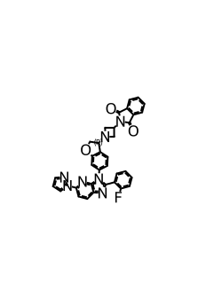 O=C1c2ccccc2C(=O)N1C1CN([C@H]2COc3cc(-n4c(-c5ccccc5F)nc5ccc(-n6cccn6)nc54)ccc32)C1